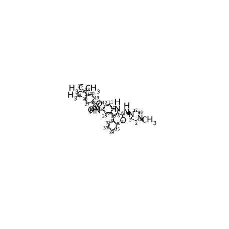 CN1CCN(NC(=O)c2[nH]c3ccc(NS(=O)(=O)c4ccc(C(C)(C)C)cc4)cc3c2-c2ccccc2)CC1